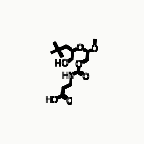 COC(COC(=O)NCCC(=O)O)OC(CO)CC(C)(C)C